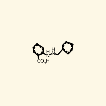 O=C(O)c1ccccc1NNCc1ccccc1